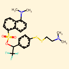 CN(C)CCSSc1ccc(C(OS(=O)(=O)c2cccc3c(N(C)C)cccc23)C(F)(F)F)cc1